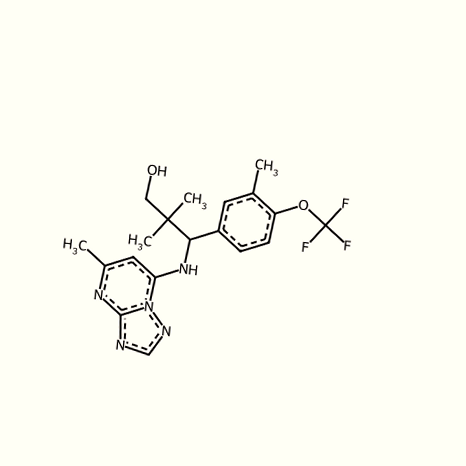 Cc1cc(NC(c2ccc(OC(F)(F)F)c(C)c2)C(C)(C)CO)n2ncnc2n1